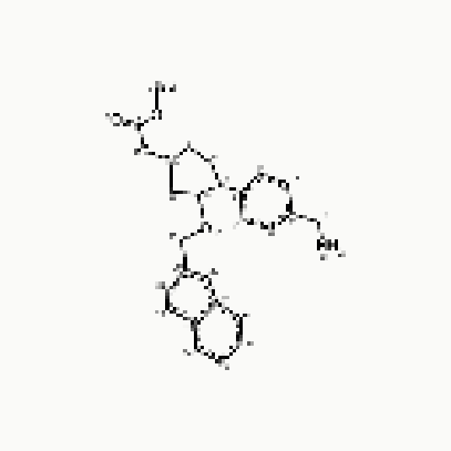 CC(C)(C)OC(=O)ON1CCC(c2ccc(CN)cc2)C(OCc2ccc3ccccc3c2)C1